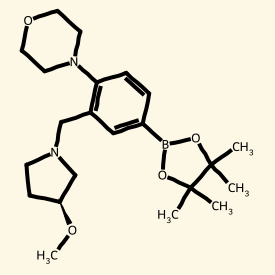 CO[C@H]1CCN(Cc2cc(B3OC(C)(C)C(C)(C)O3)ccc2N2CCOCC2)C1